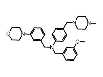 COc1cccc(CN(Cc2cccc(N3CCOCC3)c2)c2ccc(CN3CCN(C)CC3)cc2)c1